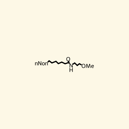 CCCCCCCCCCCCCCCC(=O)NCCCOC